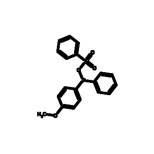 COc1ccc([I+](OS(=O)(=O)c2ccccc2)c2ccccc2)cc1